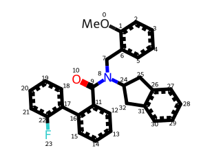 COc1ccccc1CN(C(=O)c1ccccc1-c1ccccc1F)C1Cc2ccccc2C1